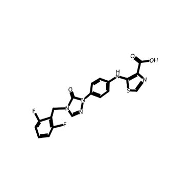 O=C(O)c1ncsc1Nc1ccc(-n2ncn(Cc3c(F)cccc3F)c2=O)cc1